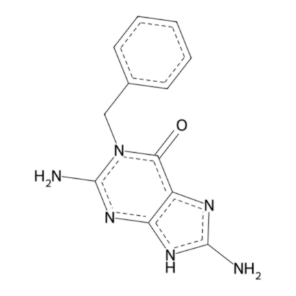 Nc1nc2c(=O)n(Cc3ccccc3)c(N)nc2[nH]1